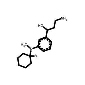 [2H]C1(N(C)c2cccc(C(O)CCN)c2)CCCCC1